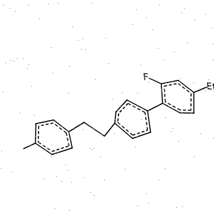 CCc1ccc(-c2ccc(CCc3ccc(C)cc3)cc2)c(F)c1